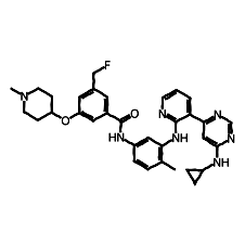 Cc1ccc(NC(=O)c2cc(CF)cc(OC3CCN(C)CC3)c2)cc1Nc1ncccc1-c1cc(NC2CC2)ncn1